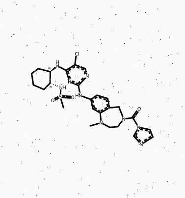 CN1CCN(C(=O)n2ccnc2)Cc2ccc(Nc3ncc(Cl)c(N[C@@H]4CCCC[C@H]4NS(C)(=O)=O)n3)cc21